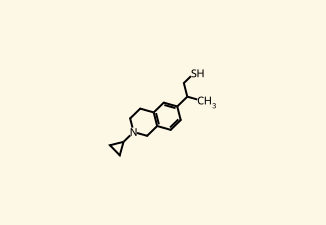 CC(CS)c1ccc2c(c1)CCN(C1CC1)C2